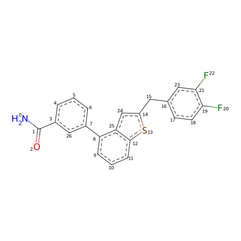 NC(=O)c1cccc(-c2cccc3sc(Cc4ccc(F)c(F)c4)cc23)c1